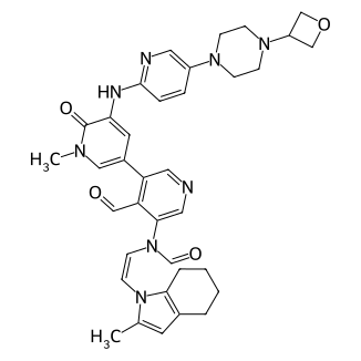 Cc1cc2c(n1/C=C\N(C=O)c1cncc(-c3cc(Nc4ccc(N5CCN(C6COC6)CC5)cn4)c(=O)n(C)c3)c1C=O)CCCC2